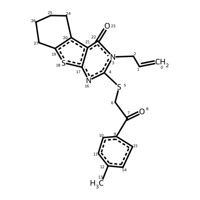 C=CCn1c(SCC(=O)c2ccc(C)cc2)nc2sc3c(c2c1=O)CCCC3